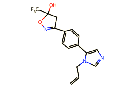 C=CCn1cncc1-c1ccc(C2=NOC(O)(C(F)(F)F)C2)cc1